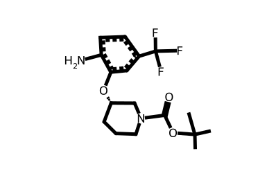 CC(C)(C)OC(=O)N1CCC[C@H](Oc2cc(C(F)(F)F)ccc2N)C1